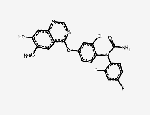 COc1cc2c(Oc3ccc(N(C(N)=O)c4ccc(F)cc4F)c(Cl)c3)ncnc2cc1O